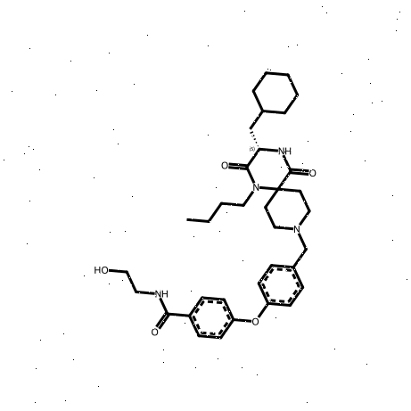 CCCCN1C(=O)[C@H](CC2CCCCC2)NC(=O)C12CCN(Cc1ccc(Oc3ccc(C(=O)NCCO)cc3)cc1)CC2